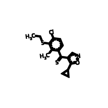 CCSc1c(Cl)ccc(C(=S)c2cnoc2C2CC2)c1C